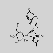 Cc1cc(Cl)c2c(Cc3ccc4cc(F)ccc4c3)cn([C@@H]3O[C@H](CO)[C@@H](O)[C@H](O)[C@H]3O)c2c1